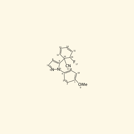 COc1ccc(-n2nccc2C2(C#N)C=CC=CC2F)cc1